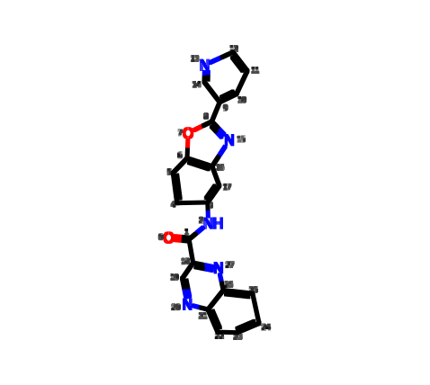 O=C(Nc1ccc2oc(-c3cccnc3)nc2c1)c1cnc2ccccc2n1